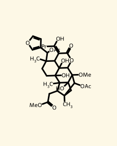 COC(=O)CC1C2(C)CC3(O)C(OC)(C2OC(C)=O)C2OC(=O)/C(=C(\O)C(C)C)C4C(C)(C(OC(C)=O)c5ccoc5)CCC(O)(C42O)C13C